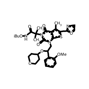 COc1ccccc1C(Cn1c(=O)n(C(C)(C)C(=O)NOCC(C)C)c(=O)c2c(C)c(-c3ncco3)sc21)OC1CCOCC1